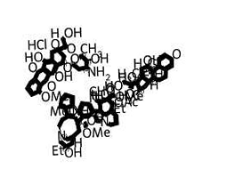 CC[C@]1(O)C[C@H]2C[N@](CCc3c([nH]c4ccccc34)[C@@](C(=O)OC)(c3cc4c(cc3OC)N(C=O)[C@H]3[C@@](O)(C(=O)OC)[C@H](OC(C)=O)[C@]5(CC)C=CCN6CC[C@]43[C@@H]65)C2)C1.COc1cccc2c1C(=O)c1c(O)c3c(c(O)c1C2=O)C[C@@](O)(C(=O)CO)C[C@@H]3O[C@H]1C[C@H](N)[C@H](O)[C@H](C)O1.C[C@@H]1C[C@H]2[C@@H]3CCC4=CC(=O)C=C[C@]4(C)[C@@]3(F)[C@@H](O)C[C@]2(C)[C@@]1(O)C(=O)CO.Cl